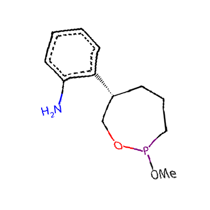 COP1CCC[C@@H](c2ccccc2N)CO1